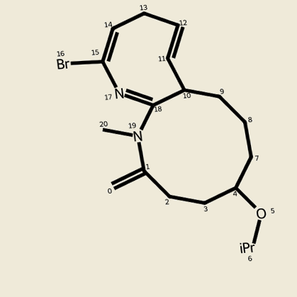 C=C1CCC(OC(C)C)CCCC2/C=C/C/C=C(Br)\N=C/2N1C